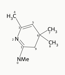 CNC1=NC(C)=CC(C)(C)C1